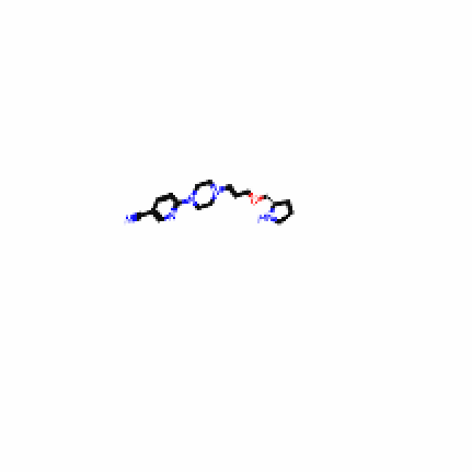 N#Cc1ccc(N2CCN(CCCOC[C@@H]3CCCN3)CC2)nc1